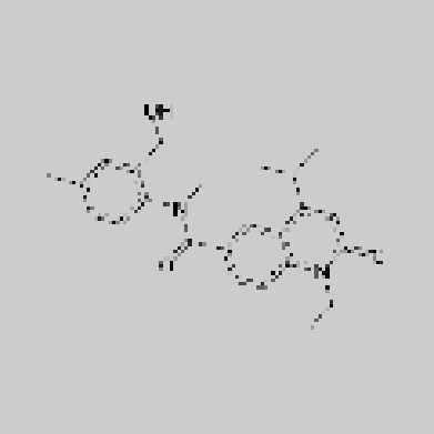 CCn1c(=O)cc(C(C)C)c2cc(C(=O)N(C)c3ccc(C)cc3CO)ccc21